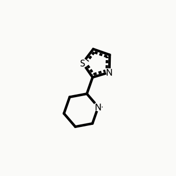 c1csc(C2CCCC[N]2)n1